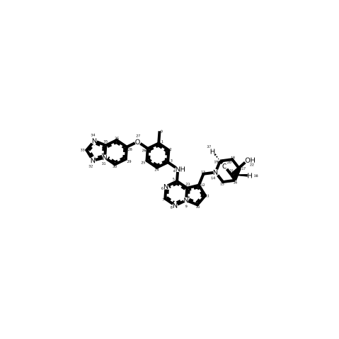 Cc1cc(Nc2ncnn3ccc(CN4CC5=CC[C@H]4C[C@@H]5O)c23)ccc1Oc1ccn2ncnc2c1